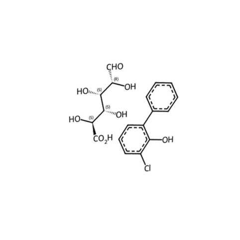 O=C[C@H](O)[C@@H](O)[C@H](O)[C@H](O)C(=O)O.Oc1c(Cl)cccc1-c1ccccc1